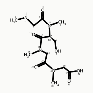 CNCC(=O)N(C)[C@@H](CO)C(=O)N(C)CC(=O)N(C)CC(=O)O